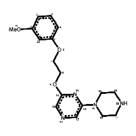 COc1cccc(OCCOc2cncc(N3CCNCC3)n2)c1